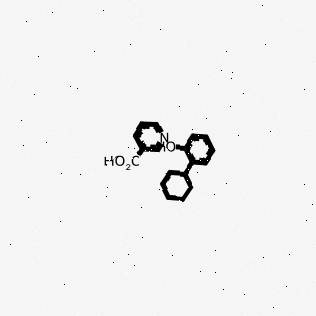 O=C(O)c1cccnc1.Oc1ccccc1C1CCCCC1